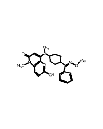 CN(c1cc(=O)n(C)c2ccc(C#N)nc12)C1CCC(C(=NOC(C)(C)C)c2ccccc2)CC1